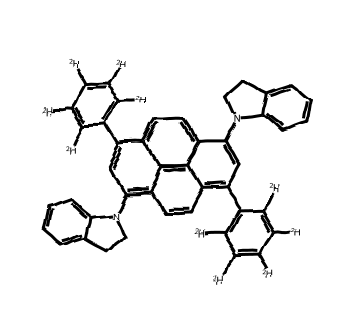 [2H]c1c([2H])c([2H])c(-c2cc(N3CCc4ccccc43)c3ccc4c(-c5c([2H])c([2H])c([2H])c([2H])c5[2H])cc(N5CCc6ccccc65)c5ccc2c3c45)c([2H])c1[2H]